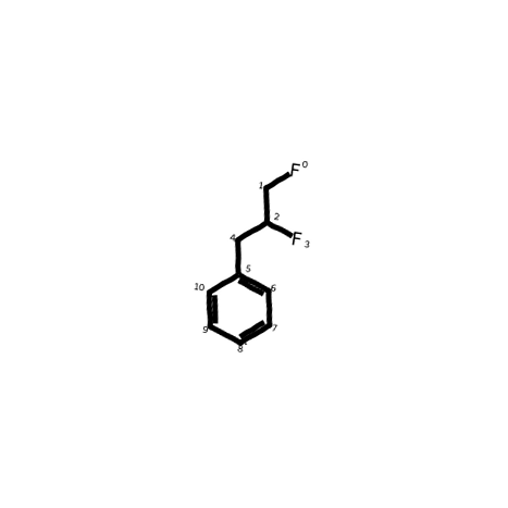 FCC(F)Cc1cc[c]cc1